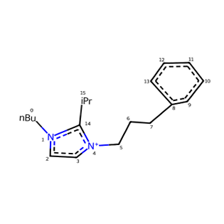 CCCCn1cc[n+](CCCc2ccccc2)c1C(C)C